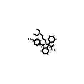 CCN(CC)CCCN(C(=O)c1ccc(N)cc1)C(C(N)=O)(C1CCCCC1)C1CCCCC1